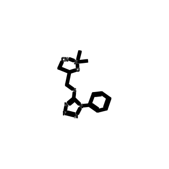 C[Si](C)(C)OC(CC#N)CSc1nnnn1-c1ccccc1